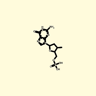 CC1CC(n2cnc3c(=O)[nH]c(N)nc32)OC1COP(=O)(O)O